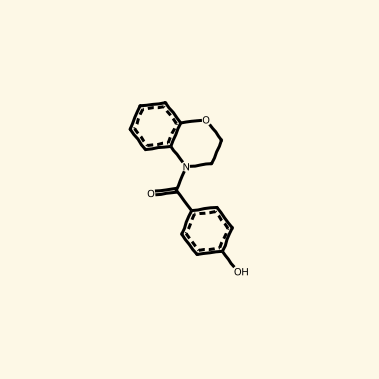 O=C(c1ccc(O)cc1)N1CCOc2ccccc21